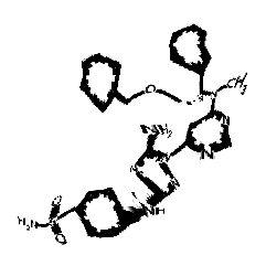 CN(c1cc(-n2nc(Nc3ccc(S(N)(=O)=O)cc3)nc2N)ncn1)[C@H](COCc1ccccc1)c1ccccc1